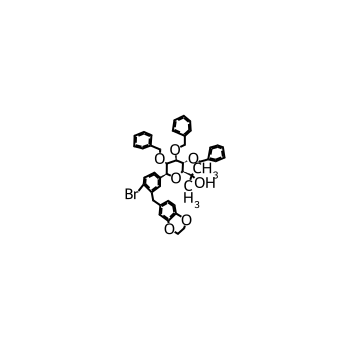 CC(C)(O)[C@H]1O[C@@H](c2ccc(Br)c(Cc3ccc4c(c3)OCCO4)c2)[C@H](OCc2ccccc2)[C@@H](OCc2ccccc2)[C@@H]1OCc1ccccc1